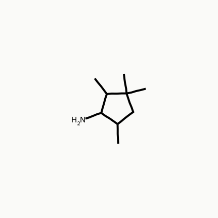 CC1CC(C)(C)C(C)C1N